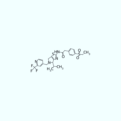 CCS(=O)(=O)c1ccc(CC(=O)Nc2nc3c(s2)CN(Cc2ccnc(C(F)(F)F)c2)C3C(C)C)cc1